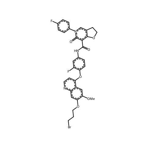 COc1cc2c(Oc3ccc(NC(=O)c4c5c(cn(-c6ccc(F)cc6)c4=O)CCO5)cc3F)ccnc2cc1OCCCBr